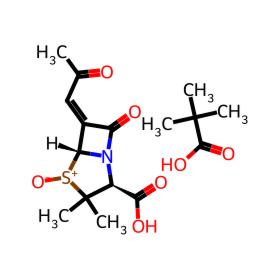 CC(=O)C=C1C(=O)N2[C@@H]1[S+]([O-])C(C)(C)[C@@H]2C(=O)O.CC(C)(C)C(=O)O